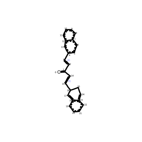 O=C(/C=C/c1ccc2ccccc2c1)/C=C/C1C=c2ccccc2=CC1